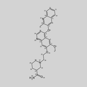 COc1cc2c(Oc3cc4ccccc4nc3C)ccnc2cc1OCCN1CCCC(C(N)=O)C1